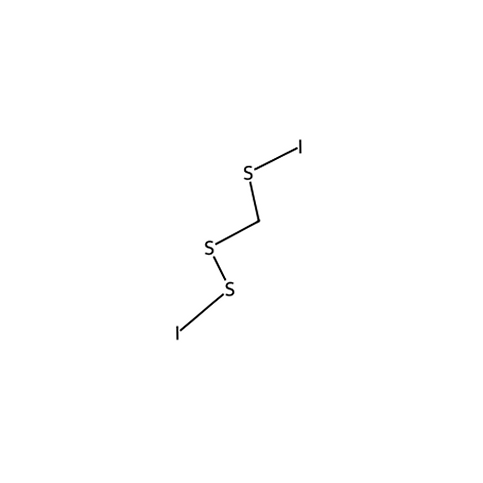 ISCSSI